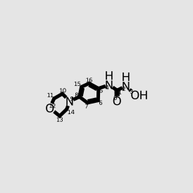 O=C(NO)Nc1ccc(N2CCOCC2)cc1